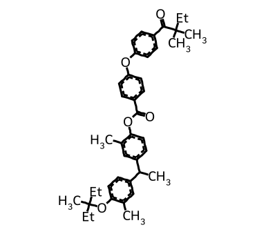 CCC(C)(CC)Oc1ccc(C(C)c2ccc(OC(=O)c3ccc(Oc4ccc(C(=O)C(C)(C)CC)cc4)cc3)c(C)c2)cc1C